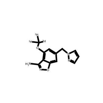 [2H]C([2H])([2H])Oc1cc(Cn2cccn2)cc2onc(N)c12